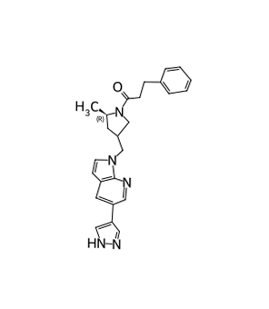 C[C@@H]1CC(Cn2ccc3cc(-c4cn[nH]c4)cnc32)CN1C(=O)CCc1ccccc1